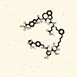 Cc1ncsc1-c1ccc(CNC(=O)[C@@H]2C[C@@H](O)CN2C(=O)[C@@H](NC(O)CCCCCc2cccc(CC[C@H](CCC(N)=O)NC(=O)[C@@H]3Cc4cccc5c4N3C(=O)[C@@H](NC(=O)c3cc4cc(C(=O)P(=O)(O)O)ccc4[nH]3)CC5)c2)C(C)(C)C)cc1